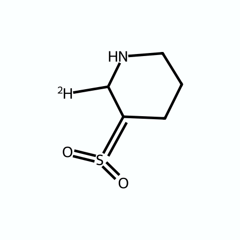 [2H]C1NCCCC1=S(=O)=O